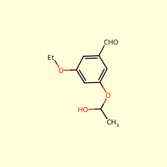 CCOc1cc(C=O)cc(OC(C)O)c1